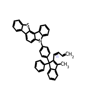 C=C/C=C\C1=C(C)c2ccccc2C1(c1ccccc1)c1ccc(-n2c3ccccc3c3c4sc5ccccc5c4ccc32)cc1